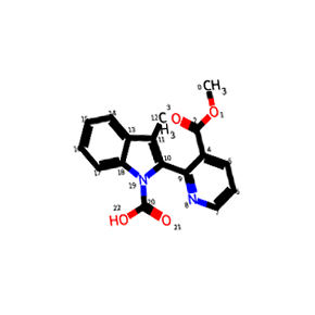 COC(=O)c1cccnc1-c1c(C)c2ccccc2n1C(=O)O